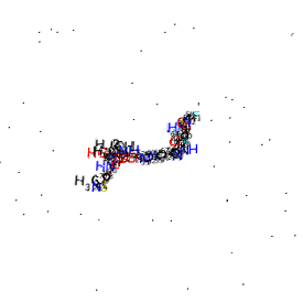 Cc1ncsc1-c1ccc(CNC(=O)[C@@H]2C[C@@H](O)CN2C(=O)C(NC(=O)COCCN2CCN(c3ccc(-c4cnc5[nH]cc(C(=O)c6c(F)ccc(NS(=O)(=O)N7CCC(F)C7)c6F)c5c4)cc3)CC2)C(C)(C)C)cc1